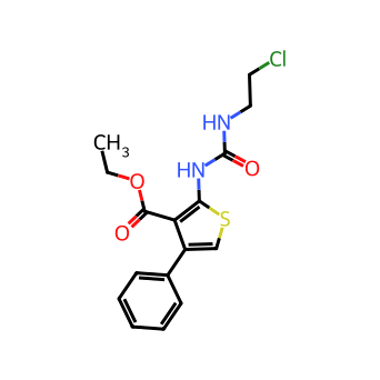 CCOC(=O)c1c(-c2ccccc2)csc1NC(=O)NCCCl